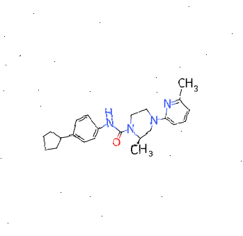 Cc1cccc(N2CCN(C(=O)Nc3ccc(C4CCCC4)cc3)[C@H](C)C2)n1